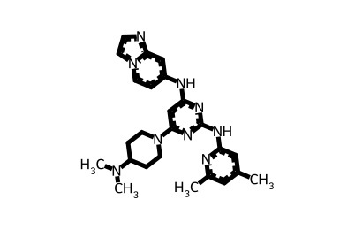 Cc1cc(C)nc(Nc2nc(Nc3ccn4ccnc4c3)cc(N3CCC(N(C)C)CC3)n2)c1